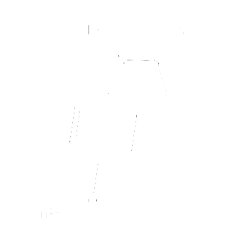 CCCOc1ccc2c(c1)CC(=O)N2C